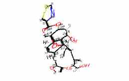 C=C1O[C@H]([C@@H](C)O)[C@H](C)/C=C(\C)[C@]23O[C@@H]4[C@H](C=C[C@@H]2C[C@@H]1OC)[C@H]3[C@H](O)[C@@H](C)[C@H]4OC(=O)c1cscn1